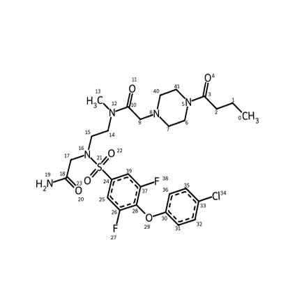 CCCC(=O)N1CCN(CC(=O)N(C)CCN(CC(N)=O)S(=O)(=O)c2cc(F)c(Oc3ccc(Cl)cc3)c(F)c2)CC1